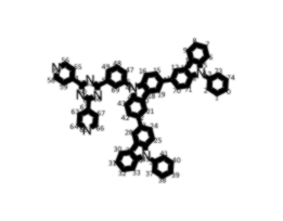 c1ccc(-n2c3ccccc3c3cc(-c4ccc5c(c4)c4cc(-c6ccc7c(c6)c6ccccc6n7-c6ccccc6)ccc4n5-c4cccc(-c5nc(-c6ccncc6)nc(-c6ccncc6)n5)c4)ccc32)cc1